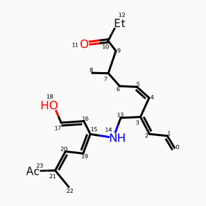 C=C/C=C(\C=C/CC(C)CC(=O)CC)CNC(/C=C/O)=C/C=C(\C)C(C)=O